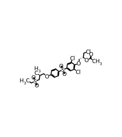 CCS(=O)(=O)C[C@@H](C)COc1ccc(S(=O)(=O)c2cc(Cl)c(OC[C@H](CCl)OC(C)=O)c(Cl)c2)cc1